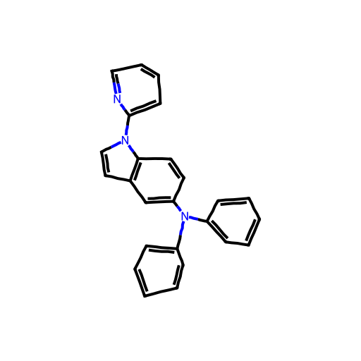 c1ccc(N(c2ccccc2)c2ccc3c(ccn3-c3ccccn3)c2)cc1